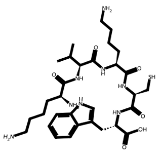 CC(C)[C@H](NC(=O)[C@@H](N)CCCCN)C(=O)N[C@@H](CCCCN)C(=O)N[C@@H](CS)C(=O)N[C@@H](Cc1c[nH]c2ccccc12)C(=O)O